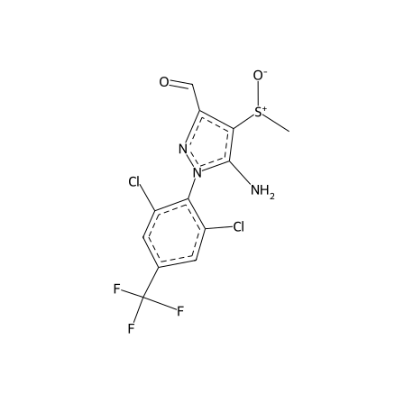 C[S+]([O-])c1c(C=O)nn(-c2c(Cl)cc(C(F)(F)F)cc2Cl)c1N